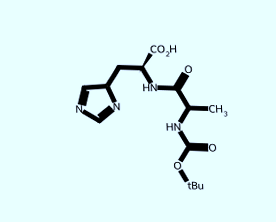 CC(NC(=O)OC(C)(C)C)C(=O)N[C@@H](CC1C=NC=N1)C(=O)O